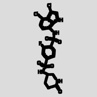 O=C1CCC(NS(=O)(=O)c2ccc(S(=O)(=O)Nc3ccc(Cl)c4c(Cl)c[nH]c34)c(F)c2)CN1